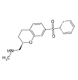 CNC[C@H]1CCc2ccc(S(=O)(=O)C3C=CC=CC3)cc2O1